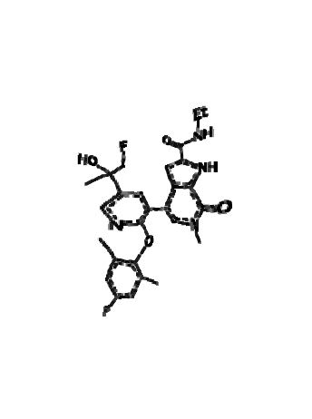 CCNC(=O)c1cc2c(-c3cc(C(C)(O)CF)cnc3Oc3c(C)cc(F)cc3C)cn(C)c(=O)c2[nH]1